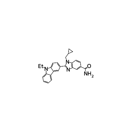 CCn1c2ccccc2c2cc(-c3nc4cc(C(N)=O)ccc4n3CC3CC3)ccc21